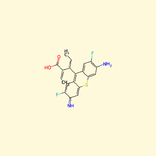 C/C=C(\C(=C/C)C(=O)O)c1c2cc(F)c(=N)cc-2sc2cc(N)c(F)cc12